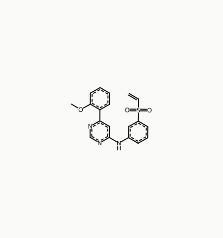 C=CS(=O)(=O)c1cccc(Nc2cc(-c3ccccc3OC)ncn2)c1